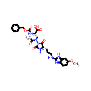 COc1ccc2nc(NCCC[C@@H]3NC(=O)N(N(C[C@H](NC(=O)OCc4ccccc4)C(=O)O)C(C)=O)C3=O)[nH]c2c1